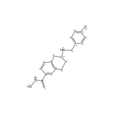 O=C(NO)c1ccc2c(c1)CCC(NCc1ccc(Cl)cc1)C2